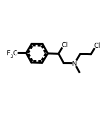 CN(CCCl)CC(Cl)c1ccc(C(F)(F)F)cc1